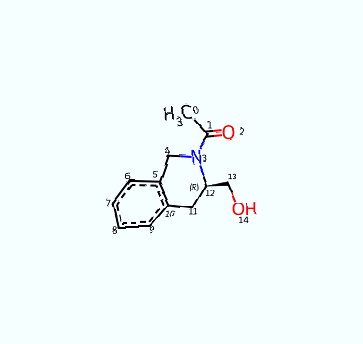 CC(=O)N1Cc2ccccc2C[C@@H]1CO